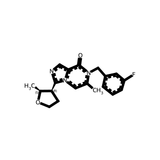 Cc1cn2c([C@H]3CCO[C@H]3C)ncc2c(=O)n1Cc1cccc(F)c1